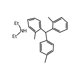 CCNCC.Cc1ccc(C(c2ccccc2C)c2ccccc2C)cc1